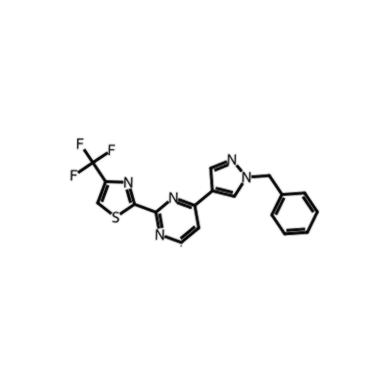 FC(F)(F)c1csc(-c2n[c]cc(-c3cnn(Cc4ccccc4)c3)n2)n1